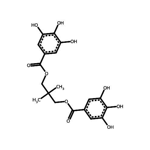 CC(C)(COC(=O)c1cc(O)c(O)c(O)c1)COC(=O)c1cc(O)c(O)c(O)c1